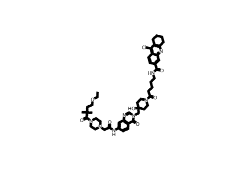 CCOCCC(C)(C)C(=O)N1CCN(CC(=O)Nc2ccc3c(=O)n(CC4(O)CCN(C(=O)CCCCNC(=O)c5ccc6c(Cl)c7c(nc6c5)CCCC7)CC4)cnc3c2)CC1